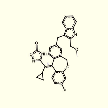 COCc1nc2ccccn2c1Cc1ccc2c(c1)COc1cc(F)ccc1/C2=C(/c1noc(=O)[nH]1)C1CC1